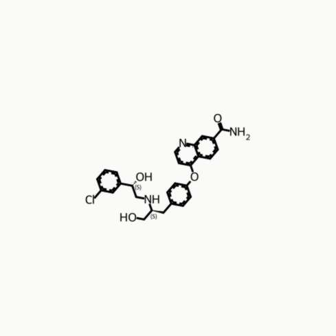 NC(=O)c1ccc2c(Oc3ccc(C[C@@H](CO)NC[C@@H](O)c4cccc(Cl)c4)cc3)ccnc2c1